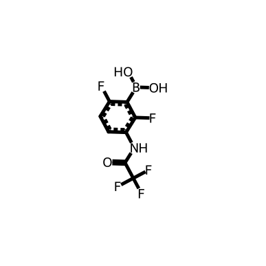 O=C(Nc1ccc(F)c(B(O)O)c1F)C(F)(F)F